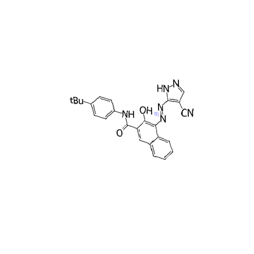 CC(C)(C)c1ccc(NC(=O)c2cc3ccccc3c(/N=N/c3[nH]ncc3C#N)c2O)cc1